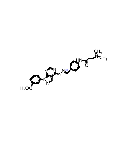 COc1cccc(-n2ncc3c(N/N=C/c4ccc(NC(=O)CCN(C)C)cc4)ncnc32)c1